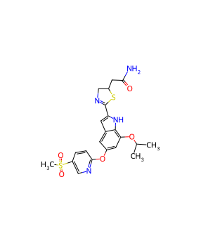 CC(C)Oc1cc(Oc2ccc(S(C)(=O)=O)cn2)cc2cc(C3=NCC(CC(N)=O)S3)[nH]c12